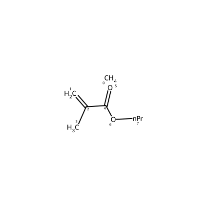 C.C=C(C)C(=O)OCCC